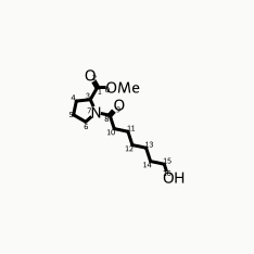 COC(=O)C1CCCN1C(=O)CCCCCCO